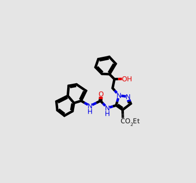 CCOC(=O)c1cnn(CC(O)c2ccccc2)c1NC(=O)Nc1cccc2ccccc12